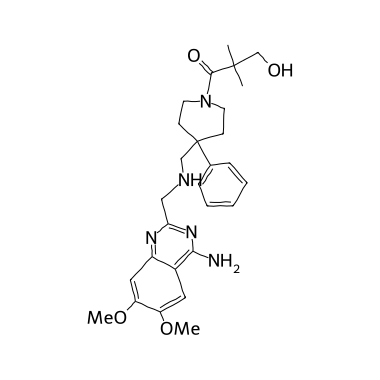 COc1cc2nc(CNCC3(c4ccccc4)CCN(C(=O)C(C)(C)CO)CC3)nc(N)c2cc1OC